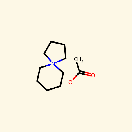 C1CC[N+]2(CC1)CCCC2.CC(=O)[O-]